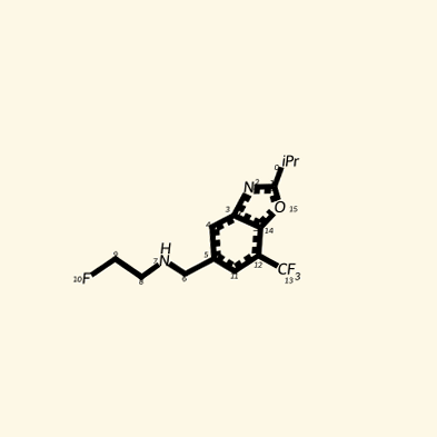 CC(C)c1nc2cc(CNCCF)cc(C(F)(F)F)c2o1